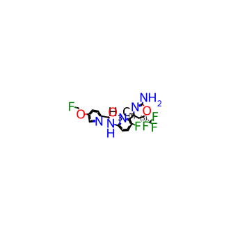 C[C@@]1(c2nc(NC(=O)c3ccc(OCF)cn3)ccc2F)C[C@@H](C(F)(F)F)OC(N)=N1